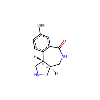 CC(C)COc1ccc2c(c1)C(=O)NC[C@H]1CNC[C@H]21